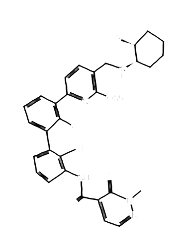 COc1nc(-c2cccc(-c3cccc(NC(=O)c4ccnn(C)c4=O)c3Cl)c2Cl)ccc1CN[C@@H]1CCCC[C@@H]1O